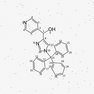 OC(c1ccncc1)c1cn(C(c2ccccc2)(c2ccccc2)c2ccccc2)cn1